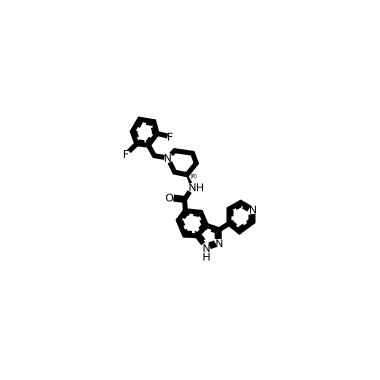 O=C(N[C@@H]1CCCN(Cc2c(F)cccc2F)C1)c1ccc2[nH]nc(-c3ccncc3)c2c1